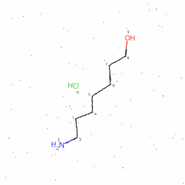 Cl.NCCCCCCCO